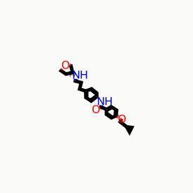 O=C(Nc1ccc(CCCN[C@@H]2CCOC2)cc1)c1ccc(OCC2CC2)cc1